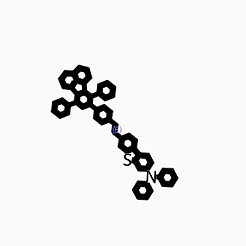 C(=C\c1ccc2c(c1)sc1cc(N(c3ccccc3)c3ccccc3)ccc12)/c1ccc(-c2cc(-c3ccccc3)c3c(c2-c2ccccc2)-c2cccc4cccc-3c24)cc1